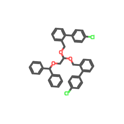 Clc1ccc(-c2ccccc2COC(COC(c2ccccc2)c2ccccc2)OCc2ccccc2-c2ccc(Cl)cc2)cc1